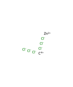 [C+4].[Cl-].[Cl-].[Cl-].[Cl-].[Cl-].[Cl-].[Zn+2]